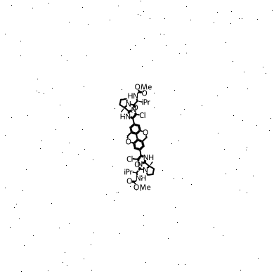 COC(=O)N[C@H](C(=O)N1CCC[C@@]1(C)c1nc(Cl)c(-c2cc3c4c(c2)OCc2cc(-c5[nH]c([C@]6(C)CCCN6C(=O)[C@@H](NC(=O)OC)C(C)C)nc5Cl)cc(c2-4)OC3)[nH]1)C(C)C